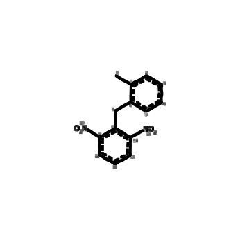 Cc1ccccc1Cc1c([N+](=O)[O-])cccc1[N+](=O)[O-]